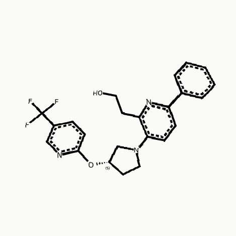 OCCc1nc(-c2ccccc2)ccc1N1CC[C@H](Oc2ccc(C(F)(F)F)cn2)C1